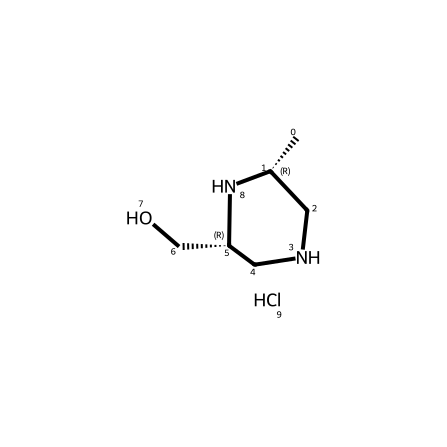 C[C@@H]1CNC[C@H](CO)N1.Cl